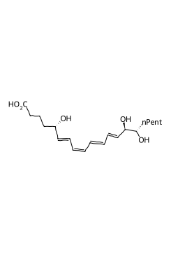 CCCCC[C@H](O)[C@H](O)/C=C/C=C/C=C\C=C[C@@H](O)CCCC(=O)O